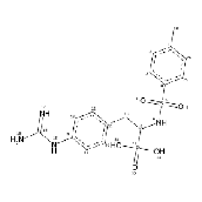 Cc1ccc(S(=O)(=O)NC(Cc2ccc(NC(=N)N)cc2)P(=O)(O)O)cc1